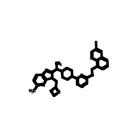 Cc1ccc2nc(C(C)N3CCC(c4cccc(OCc5cccc6cc(F)cnc56)n4)CC3)n(CC3CCO3)c2n1